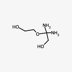 NC(N)(CO)OCCO